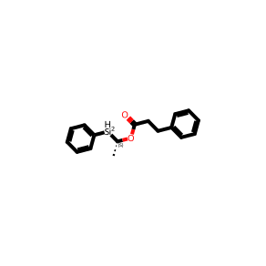 C[C@@H](OC(=O)CCc1ccccc1)[SiH2]c1ccccc1